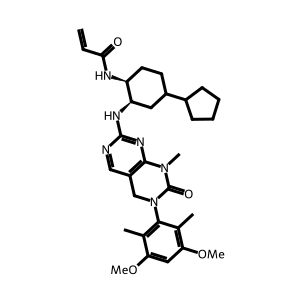 C=CC(=O)N[C@H]1CCC(C2CCCC2)C[C@H]1Nc1ncc2c(n1)N(C)C(=O)N(c1c(C)c(OC)cc(OC)c1C)C2